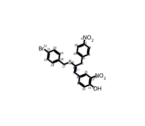 O=[N+]([O-])c1ccc(C/C(=C\c2ccc(O)c([N+](=O)[O-])c2)SCc2ccc(Br)cc2)cc1